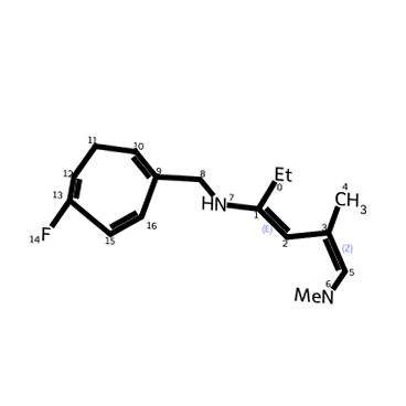 CC/C(=C\C(C)=C/NC)NCC1=CCC=C(F)C=C1